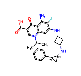 CC(C)n1cc(C(=O)O)c(=O)c2c(N)c(F)c(N[C@H]3C[C@@H](N[C@@H]4C[C@H]4c4ccccc4)C3)cc21